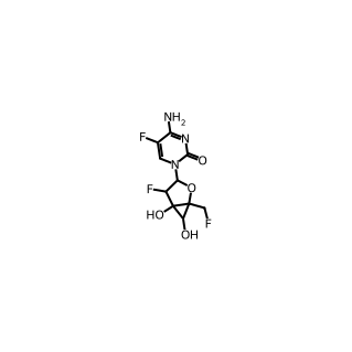 Nc1nc(=O)n(C2OC3(CF)C(O)C3(O)C2F)cc1F